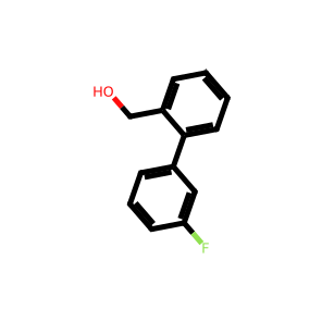 OCc1c[c]ccc1-c1cccc(F)c1